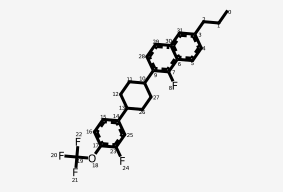 CCCc1ccc2c(F)c(C3CCC(c4ccc(OC(F)(F)F)c(F)c4)CC3)ccc2c1